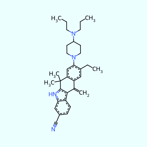 C=C1c2cc(CC)c(N3CCC(N(CCC)CCC)CC3)cc2C(C)(C)c2[nH]c3cc(C#N)ccc3c21